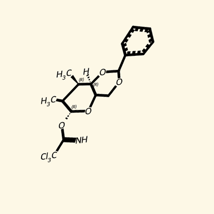 CC1[C@@H](OC(=N)C(Cl)(Cl)Cl)OC2COC(c3ccccc3)O[C@@H]2[C@@H]1C